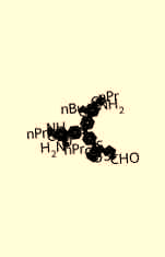 CCCCOc1cc(OC(N)CCC)ccc1-c1ccc(N(c2ccc(-c3ccc(OC(N)CCC)cc3OC(N)CCC)cc2)c2ccc(-c3sc(-c4ccc(C=O)s4)c4c3OCCO4)cc2)cc1